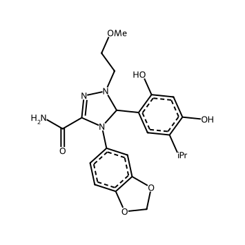 COCCN1N=C(C(N)=O)N(c2ccc3c(c2)OCO3)C1c1cc(C(C)C)c(O)cc1O